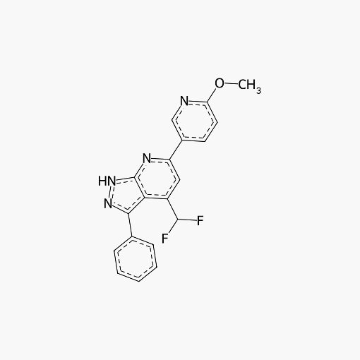 COc1ccc(-c2cc(C(F)F)c3c(-c4ccccc4)n[nH]c3n2)cn1